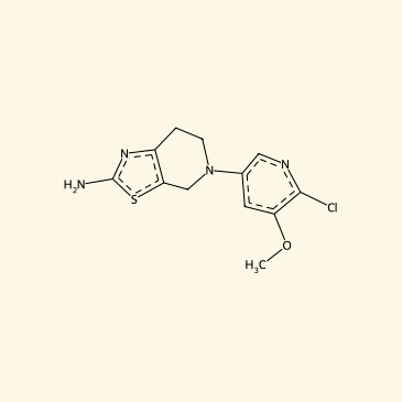 COc1cc(N2CCc3nc(N)sc3C2)cnc1Cl